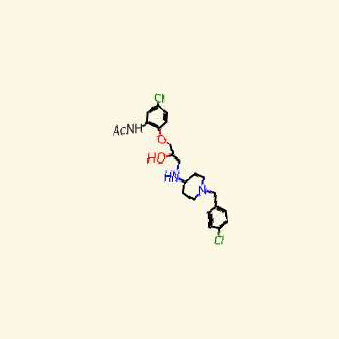 CC(=O)Nc1cc(Cl)ccc1OCC(O)CNC1CCN(Cc2ccc(Cl)cc2)CC1